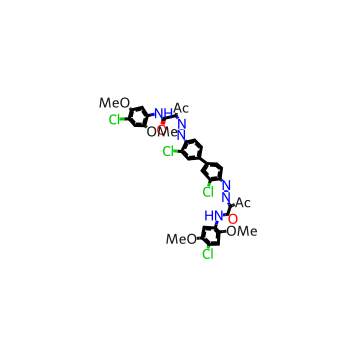 COc1cc(NC(=O)C(N=Nc2ccc(-c3ccc(N=NC(C(C)=O)C(=O)Nc4cc(OC)c(Cl)cc4OC)c(Cl)c3)cc2Cl)C(C)=O)c(OC)cc1Cl